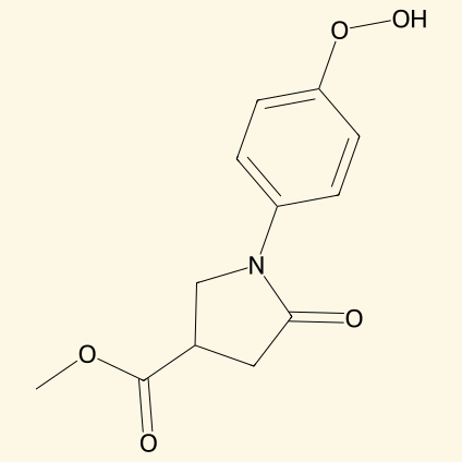 COC(=O)C1CC(=O)N(c2ccc(OO)cc2)C1